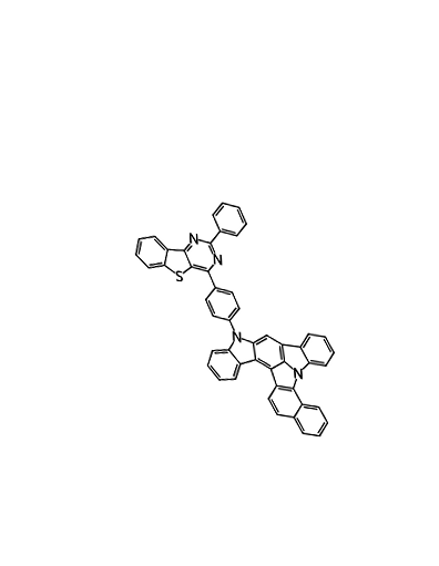 c1ccc(-c2nc(-c3ccc(-n4c5ccccc5c5c6c7ccc8ccccc8c7n7c8ccccc8c(cc54)c67)cc3)c3sc4ccccc4c3n2)cc1